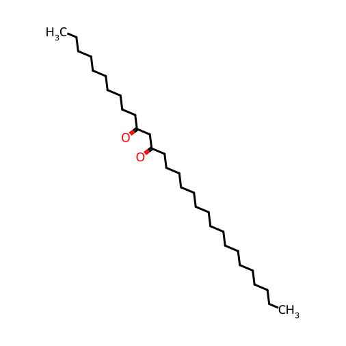 CCCCCCCCCCCCCCCCCC(=O)CC(=O)CCCCCCCCCC